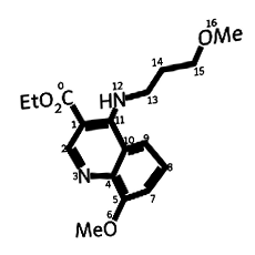 CCOC(=O)c1cnc2c(OC)cccc2c1NCCCOC